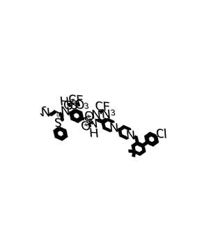 CN(C)CC[C@H](CSc1ccccc1)Nc1ccc(S(=O)(=O)Nc2nc(C(F)(F)F)nc3c2CCN(C2CCN(CC4=C(c5ccc(Cl)cc5)CCC(C)(C)C4)CC2)C3)cc1S(=O)(=O)C(F)(F)F